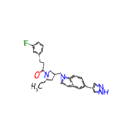 C[C@@H]1CC(Cn2ccc3cc(-c4cn[nH]c4)ccc32)CN1C(=O)CCc1cccc(F)c1